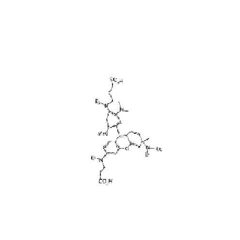 CCN(CCC(=O)O)c1ccc2c(c1)OC1=CC(C)(N(CC)CC)C=CC1=C2c1cc(N(C)C)c(N(CC)CCCC(=O)O)cc1OC